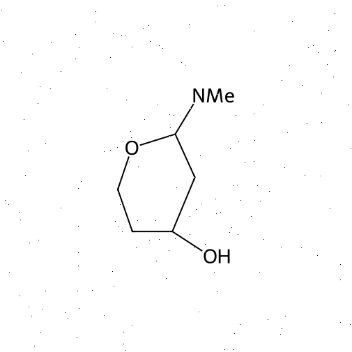 CNC1CC(O)CCO1